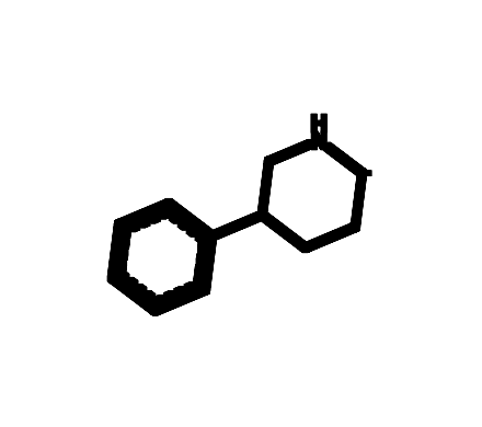 [CH]1CCC(c2ccccc2)CN1